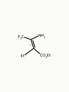 CCOC(=O)/C(CC)=C(\N)C(F)(F)F